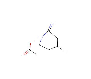 CC(=O)O.CC1CCNC(=N)C1